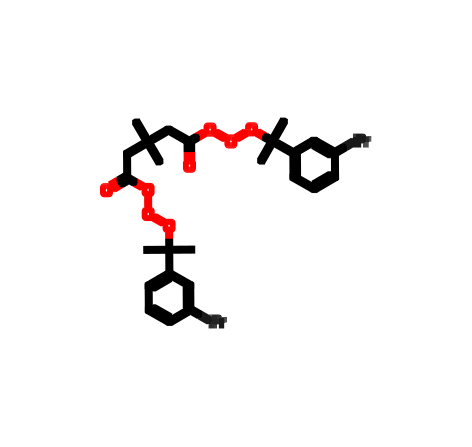 CC(C)c1cccc(C(C)(C)OOOC(=O)CC(C)(C)CC(=O)OOOC(C)(C)c2cccc(C(C)C)c2)c1